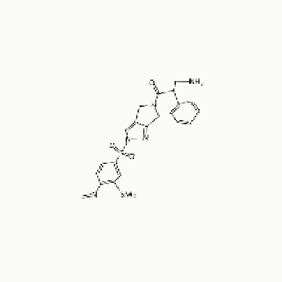 C=Nc1ccc(S(=O)(=O)n2cc3c(n2)CN(C(=O)C(CN)c2ccccc2)C3)cc1SC